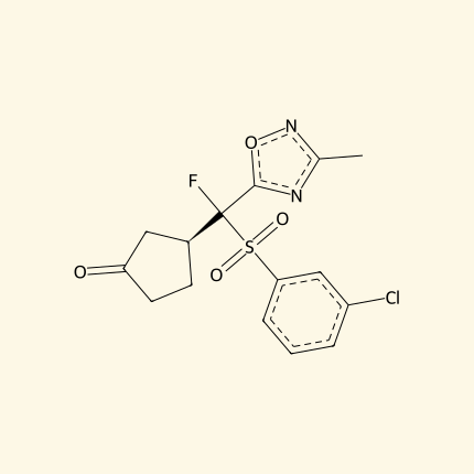 Cc1noc(C(F)([C@H]2CCC(=O)C2)S(=O)(=O)c2cccc(Cl)c2)n1